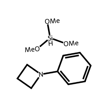 CO[SiH](OC)OC.c1ccc(N2CCC2)cc1